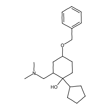 CN(C)CC1CC(OCc2ccccc2)CCC1(O)C1CCCC1